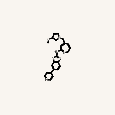 COC1CCN(CC2=CC(Nc3nc4ccc(-c5ccncc5)cc4s3)=NCC=C2)C1